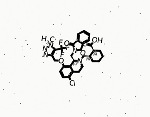 Cn1nnc(COc2ccc(Cl)c3c2[C@@H](CN2Cc4ccccc4C2=O)N(C(=O)[C@@H]2CCCC[C@@H]2C(=O)O)CC3)c1C(F)(F)F